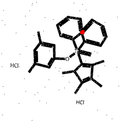 Cl.Cl.[CH2]=[Ti]([O]c1cc(C)cc(C)c1)([C]1=C(C)C(C)=C(C)C1C)([c]1ccccc1)[c]1ccccc1